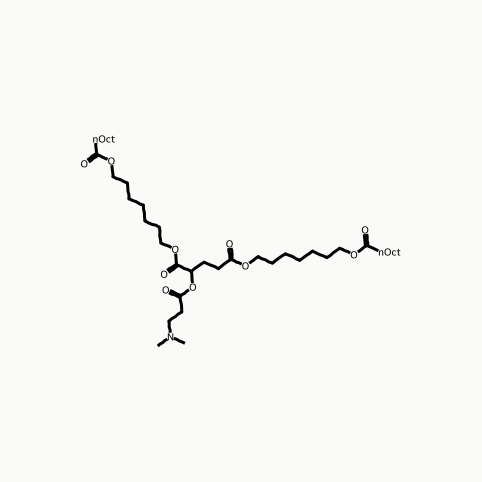 CCCCCCCCC(=O)OCCCCCCCOC(=O)CCC(OC(=O)CCN(C)C)C(=O)OCCCCCCCOC(=O)CCCCCCCC